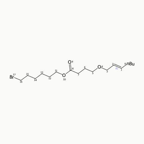 CCCC/C=C/COCCCC(=O)OCCCCCCBr